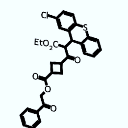 CCOC(=O)C(C(=O)C1CC(C(=O)OCC(=O)c2ccccc2)C1)C1c2ccccc2Sc2ccc(Cl)cc21